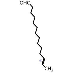 C/C=C/CCCCCCCCCCC=O